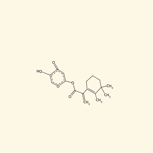 C=C(C(=O)Oc1cc(=O)c(O)co1)C1=C(C)C(C)(C)CCC1